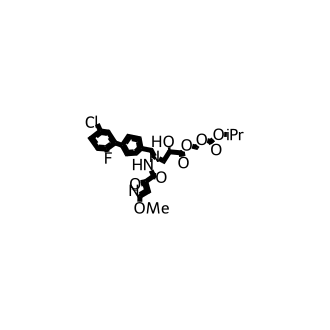 COc1cc(C(=O)NN(Cc2ccc(-c3cc(Cl)ccc3F)cc2)C[C@@H](O)C(=O)OCOC(=O)OC(C)C)on1